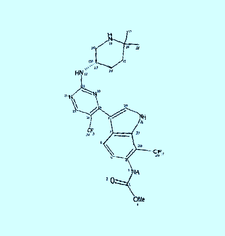 COC(=O)Nc1ccc2c(-c3nc(N[C@H]4CCC(C)(C)NC4)ncc3C(F)(F)F)c[nH]c2c1C(F)(F)F